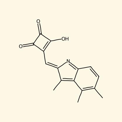 CC1=c2c(C)c(C)ccc2=NC1=Cc1c(O)c(=O)c1=O